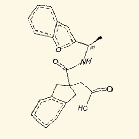 C[C@@H](NC(=O)C1(CC(=O)O)Cc2ccccc2C1)c1cc2ccccc2o1